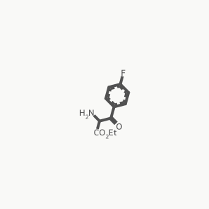 CCOC(=O)C(N)C(=O)c1ccc(F)cc1